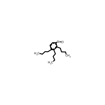 CCCCc1cc[c]([Sn][Cl])c(CCCC)c1CCCC